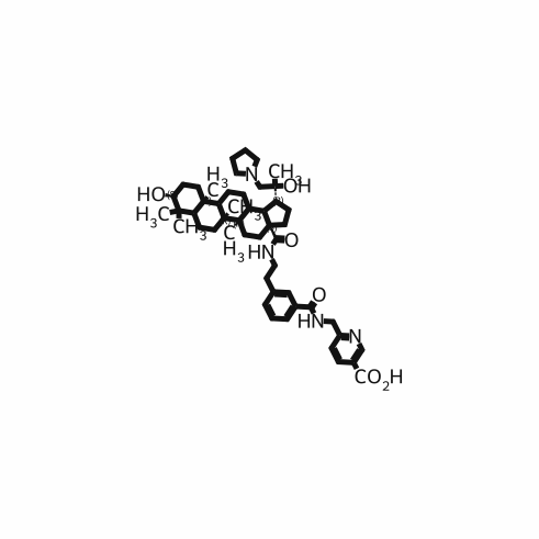 CC(O)(CN1CCCC1)[C@@H]1CC[C@]2(C(=O)NCCc3cccc(C(=O)NCc4ccc(C(=O)O)cn4)c3)CC[C@]3(C)C(CCC4[C@@]5(C)CC[C@H](O)C(C)(C)C5CC[C@]43C)C12